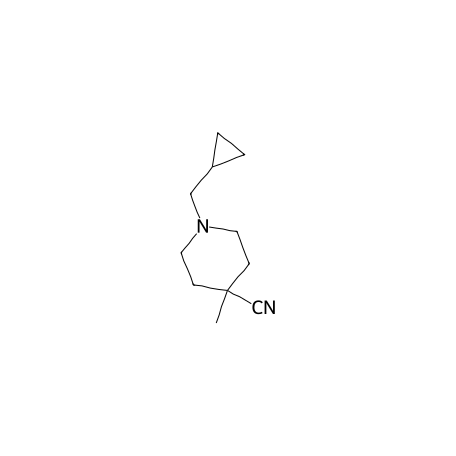 CC1(C#N)CCN(CC2CC2)CC1